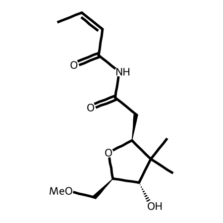 C/C=C\C(=O)NC(=O)C[C@@H]1O[C@H](COC)[C@@H](O)C1(C)C